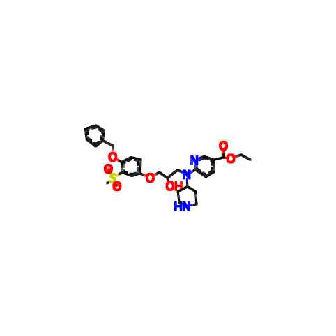 CCOC(=O)c1ccc(N(CC(O)COc2ccc(OCc3ccccc3)c(S(C)(=O)=O)c2)C2CCNCC2)nc1